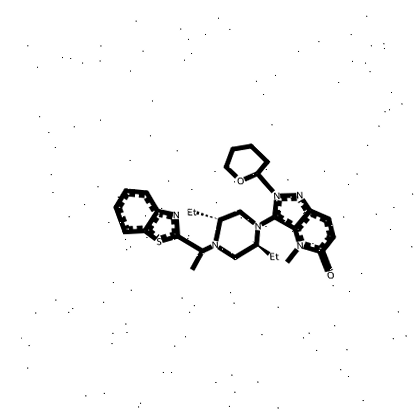 CC[C@H]1CN(C(C)c2nc3ccccc3s2)[C@H](CC)CN1c1c2c(ccc(=O)n2C)nn1C1CCCCO1